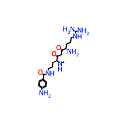 CN[C@@H](CCCNC(=O)c1ccc(N)cc1)C(=O)CC(=O)[C@@H](N)CCCNC(N)N